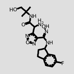 CC(C)(CO)NC(=O)C(N)c1nonc1/C(=N\O)NC1CCc2ccc(F)cc21